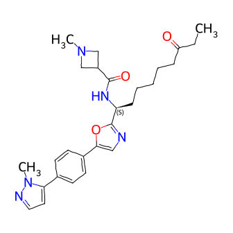 CCC(=O)CCCCC[C@H](NC(=O)C1CN(C)C1)c1ncc(-c2ccc(-c3ccnn3C)cc2)o1